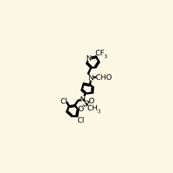 CS(=O)(=O)N(Cc1cc(Cl)ccc1Cl)c1ccc(N(C=O)Cc2ccc(C(F)(F)F)nc2)cc1